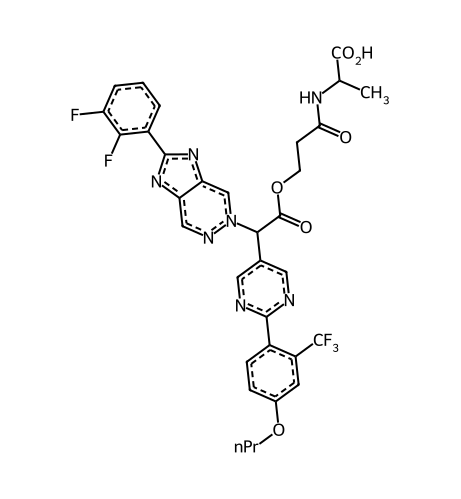 CCCOc1ccc(-c2ncc(C(C(=O)OCCC(=O)NC(C)C(=O)O)n3cc4nc(-c5cccc(F)c5F)nc-4cn3)cn2)c(C(F)(F)F)c1